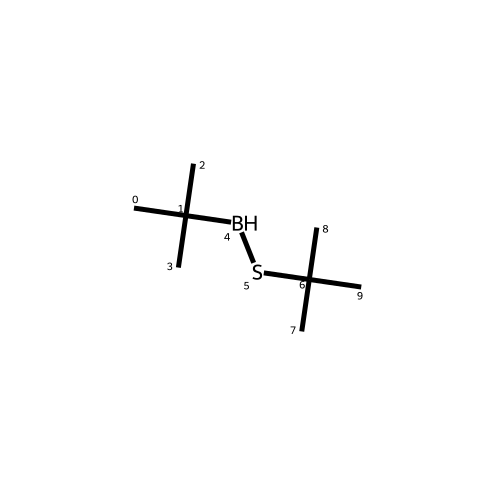 CC(C)(C)BSC(C)(C)C